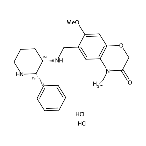 COc1cc2c(cc1CN[C@H]1CCCN[C@H]1c1ccccc1)N(C)C(=O)CO2.Cl.Cl